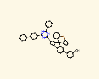 N#Cc1cccc(-c2ccc3c(c2)C2(c4ccccc4Sc4ccccc42)c2cc(-c4nc(-c5ccccc5)nc(-c5ccc(-c6ccccc6)cc5)n4)ccc2-3)c1